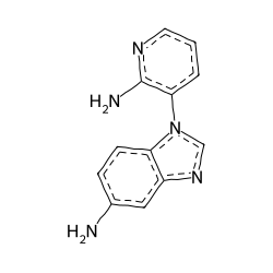 Nc1ccc2c(c1)ncn2-c1cccnc1N